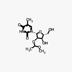 COC(C)O[C@@H]1[C@H](O)[C@@H](CO)O[C@H]1n1cc(C)c(=O)[nH]c1=O